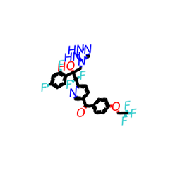 O=C(c1ccc(OCC(F)(F)F)cc1)c1ccc(C(F)(F)C(O)(CN2C=NNN2)c2ccc(F)cc2F)nc1